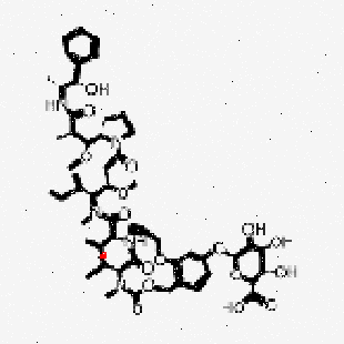 C#CCOc1cc(O[C@@H]2O[C@H](C(=O)O)[C@@H](O)[C@H](O)C2O)ccc1COC(=O)N(C)[C@H](C(=O)N[C@H](C(=O)N(C)[C@@H](C(C)CC)[C@@H](CC(=O)N1CCC[C@H]1[C@H](OC)[C@@H](C)C(=O)N[C@H](C)[C@@H](O)c1ccccc1)OC)C(C)C)C(C)C